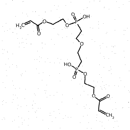 C=CC(=O)OCCOP(=O)(O)CCOCCP(=O)(O)OCCOC(=O)C=C